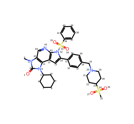 Cn1c(=O)n(C2CCCCC2)c2c3cc(-c4ccc(CN5CCC(S(C)(=O)=O)CC5)cc4)n(S(=O)(=O)c4ccccc4)c3ncc21